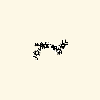 Cc1c(CN2CC3(C2)CN(c2ncncc2Oc2ccc(F)c(Cl)c2)C3)ccc2c1cc(C#N)n2CCN1CCN(C(C)C)CC1